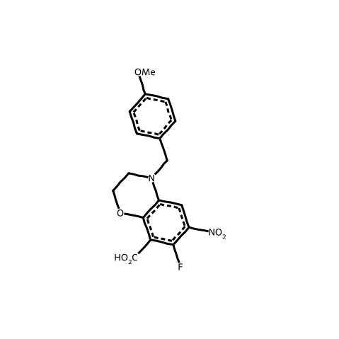 COc1ccc(CN2CCOc3c2cc([N+](=O)[O-])c(F)c3C(=O)O)cc1